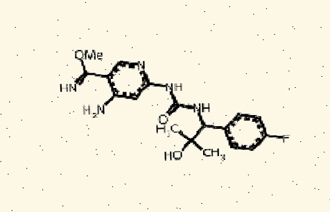 COC(=N)c1cnc(NC(=O)NC(c2ccc(F)cc2)C(C)(C)O)cc1N